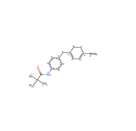 CCC(C)(C)C(=O)Nc1ccc(CC2=CC=C(NC(C)=O)CC2)cc1